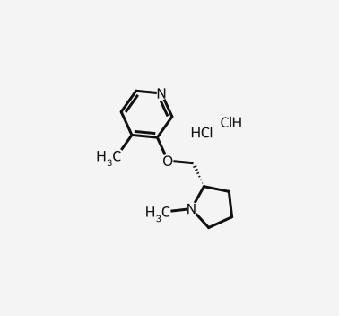 Cc1ccncc1OC[C@@H]1CCCN1C.Cl.Cl